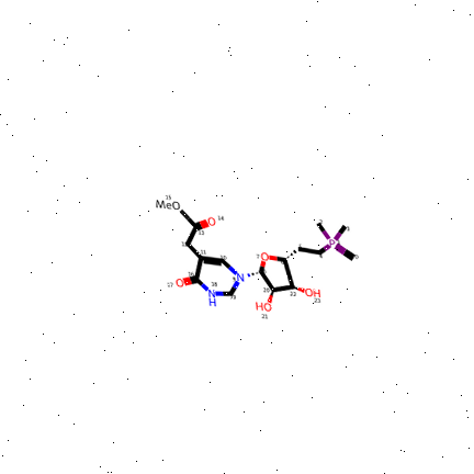 C=P(C)(C)CC[C@H]1O[C@@H](N2C=C(CC(=O)OC)C(=O)NC2)[C@H](O)[C@@H]1O